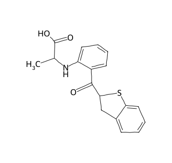 CC(Nc1ccccc1C(=O)C1Cc2ccccc2S1)C(=O)O